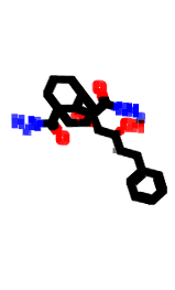 NC(=O)[C@@H](C[C@@H](O)[CH]Cc1ccccc1)[C@]1(O)C2CCCC1(C(N)=O)CCC2